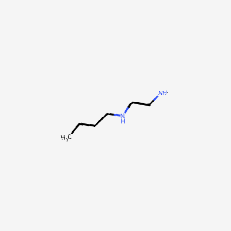 CCCCNCC[NH]